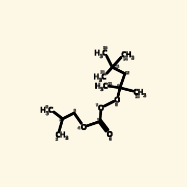 CC(C)COC(=O)OOC(C)(C)CC(C)(C)C